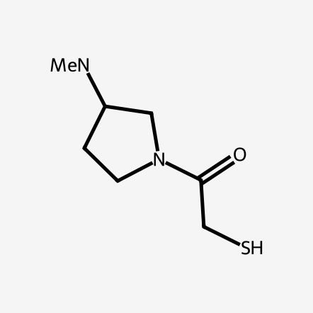 CNC1CCN(C(=O)CS)C1